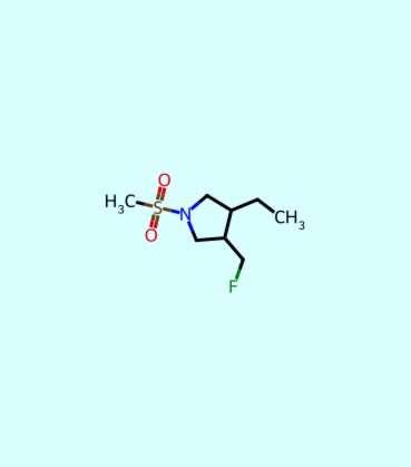 CCC1CN(S(C)(=O)=O)CC1CF